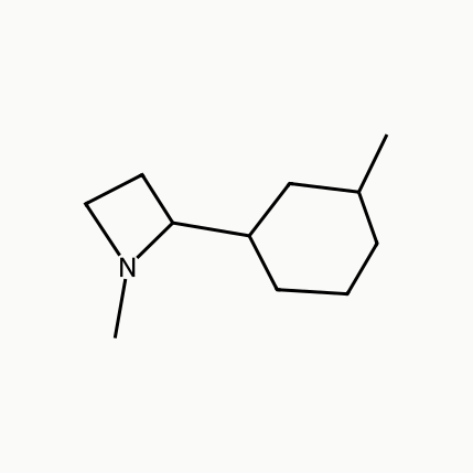 CC1CCCC(C2CCN2C)C1